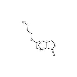 O=C1OCC2C3CC(CC3OCCCS)C12